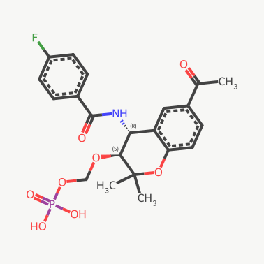 CC(=O)c1ccc2c(c1)[C@@H](NC(=O)c1ccc(F)cc1)[C@H](OCOP(=O)(O)O)C(C)(C)O2